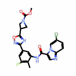 COC(=O)N1CC(c2nc(-c3cc(F)c(C)c(NC(=O)c4cnc5ccc(Cl)cn45)c3)no2)C1